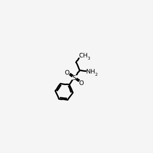 CCC(N)S(=O)(=O)c1ccccc1